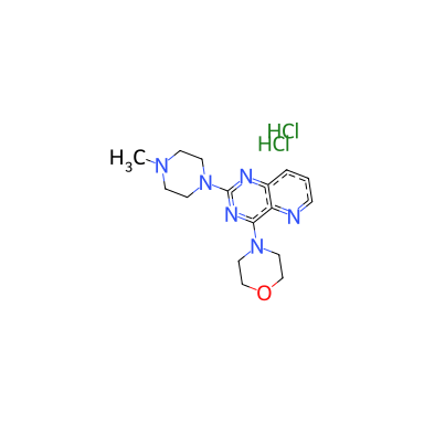 CN1CCN(c2nc(N3CCOCC3)c3ncccc3n2)CC1.Cl.Cl